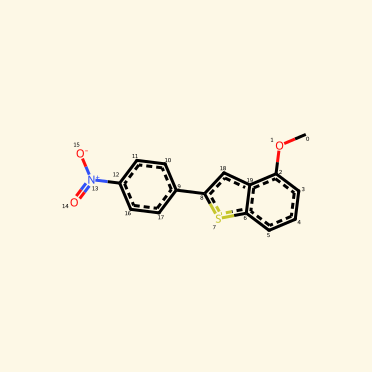 COc1cccc2sc(-c3ccc([N+](=O)[O-])cc3)cc12